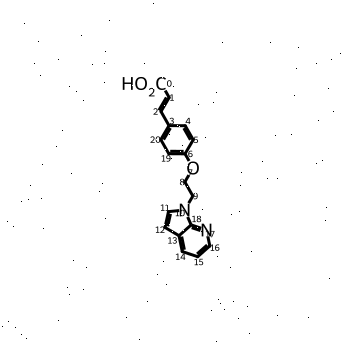 O=C(O)/C=C/c1ccc(OCCn2ccc3cccnc32)cc1